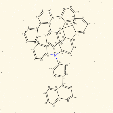 c1ccc(-c2cccc3c2-c2ccccc2C2(c4ccccc4-c4ccc(N(c5ccccc5)c5ccc(-c6cccc7ccccc67)cc5)cc42)c2ccccc2-3)cc1